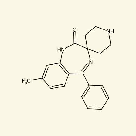 O=C1Nc2cc(C(F)(F)F)ccc2C(c2ccccc2)=NC12CCNCC2